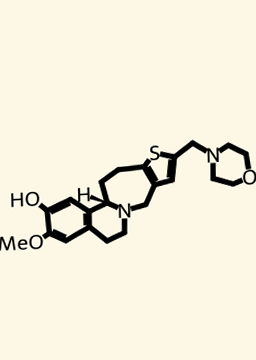 COc1cc2c(cc1O)[C@@H]1CCc3sc(CN4CCOCC4)cc3CN1CC2